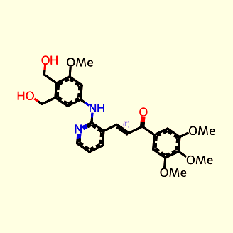 COc1cc(Nc2ncccc2/C=C/C(=O)c2cc(OC)c(OC)c(OC)c2)cc(CO)c1CO